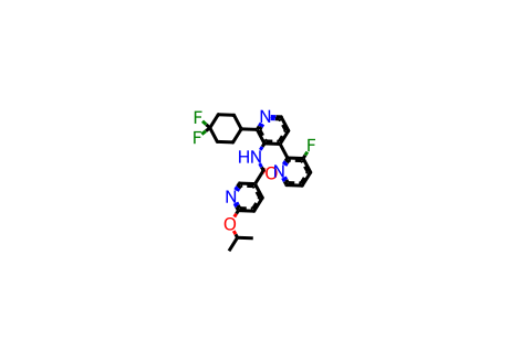 CC(C)Oc1ccc(C(=O)Nc2c(-c3ncccc3F)ccnc2C2CCC(F)(F)CC2)cn1